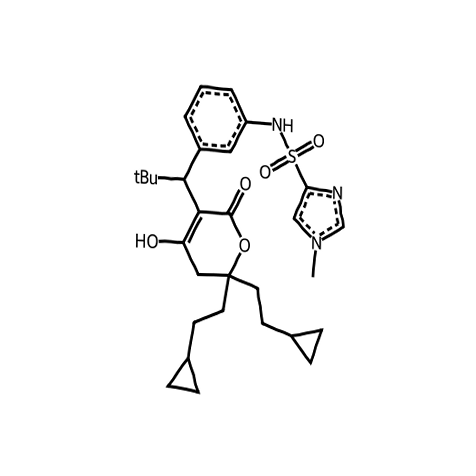 Cn1cnc(S(=O)(=O)Nc2cccc(C(C3=C(O)CC(CCC4CC4)(CCC4CC4)OC3=O)C(C)(C)C)c2)c1